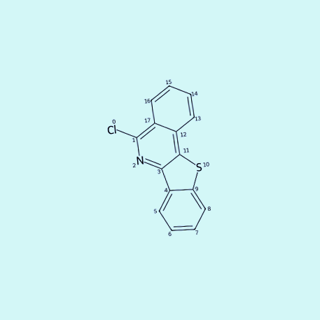 Clc1nc2c3ccccc3sc2c2ccccc12